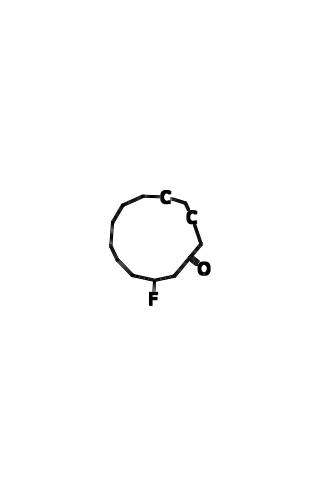 O=C1CCCCCCCCCCC(F)C1